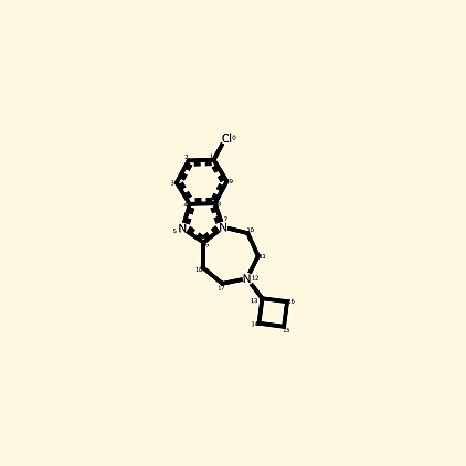 Clc1ccc2nc3n(c2c1)CCN(C1CCC1)CC3